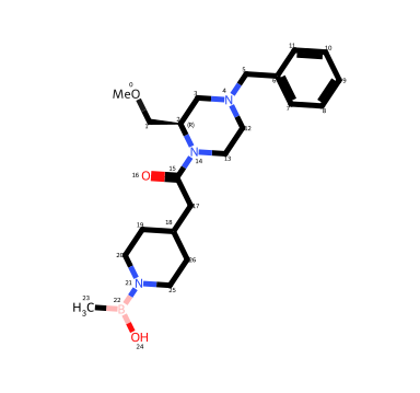 COC[C@H]1CN(Cc2ccccc2)CCN1C(=O)CC1CCN(B(C)O)CC1